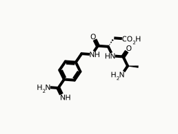 C[C@@H](N)C(=O)N[C@@H](CC(=O)O)C(=O)NCc1ccc(C(=N)N)cc1